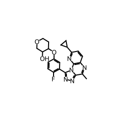 Cc1nc2ccc(C3CC3)nc2n2c(-c3cc(OC4CCOCC4O)ccc3F)nnc12